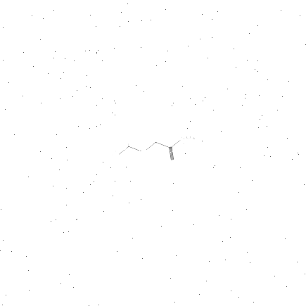 CNC(=O)CSCC(C)=O